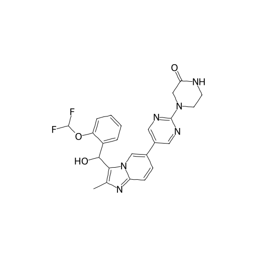 Cc1nc2ccc(-c3cnc(N4CCNC(=O)C4)nc3)cn2c1C(O)c1ccccc1OC(F)F